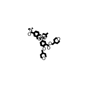 Cc1cc(C(=O)N(C)C)ccc1N(CC(C)C)S(=O)(=O)c1ccc(OCC2CCOCC2)c(C(=O)OCC2CCOCC2)c1